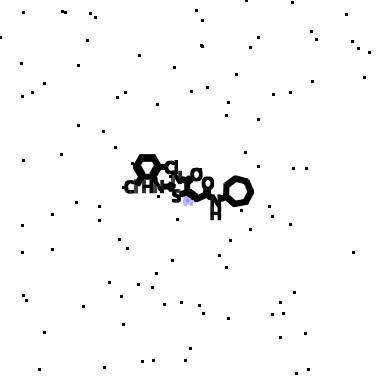 O=C(/C=C1/SC(Nc2c(Cl)cccc2Cl)=NC1=O)NC1CCCCCC1